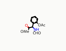 COC(=O)C(NC=O)c1ccccc1OC(C)=O